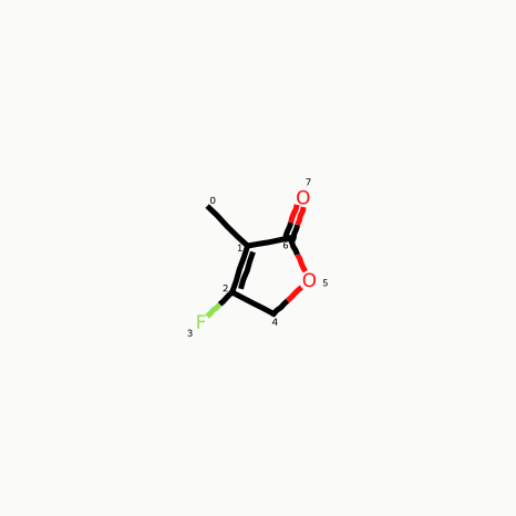 CC1=C(F)COC1=O